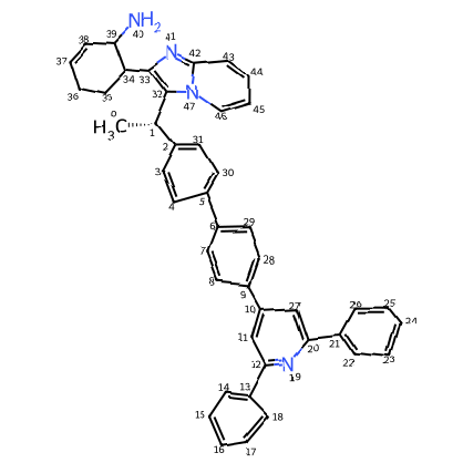 C[C@@H](c1ccc(-c2ccc(-c3cc(-c4ccccc4)nc(-c4ccccc4)c3)cc2)cc1)c1c(C2CCC=CC2N)nc2ccccn12